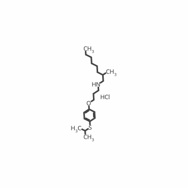 CCCCCCC(C)CNCCCOc1ccc(SC(C)C)cc1.Cl